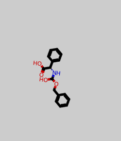 O=C(O)[C@@H](NC(O)OCc1ccccc1)c1ccccc1